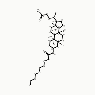 CCCCOCCOCC(=O)O[C@H]1CC[C@@]2(C)[C@H](CC[C@@H]3[C@@H]2CC[C@]2(C)[C@@H]([C@H](C)CCC(=O)O)CC[C@@H]32)C1